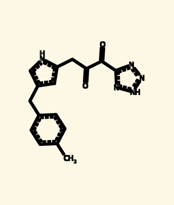 Cc1ccc(Cc2c[nH]c(CC(=O)C(=O)c3nn[nH]n3)c2)cc1